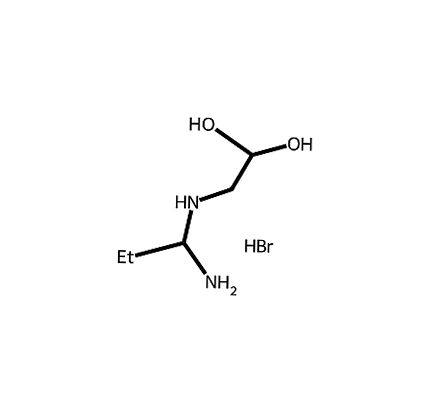 Br.CCC(N)NCC(O)O